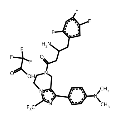 CN(C)c1ccc(-c2nc(C(F)(F)F)n3c2CN(C(=O)CC(N)Cc2cc(F)c(F)cc2F)CC3)cc1.O=C(O)C(F)(F)F